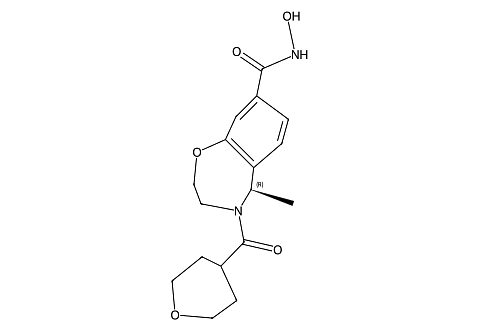 C[C@@H]1c2ccc(C(=O)NO)cc2OCCN1C(=O)C1CCOCC1